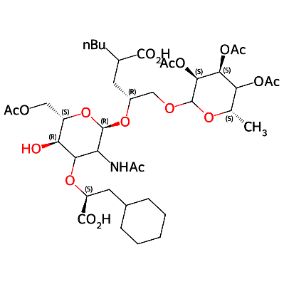 CCCCC(C[C@H](COC1O[C@@H](C)C(OC(C)=O)[C@H](OC(C)=O)[C@@H]1OC(C)=O)O[C@@H]1O[C@@H](COC(C)=O)[C@H](O)C(O[C@@H](CC2CCCCC2)C(=O)O)C1NC(C)=O)C(=O)O